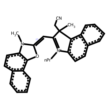 CCC[N+]1=C(/C=C2\Oc3c(ccc4ccccc34)N2C)C(C)(CC#N)c2c1ccc1ccccc21